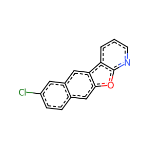 Clc1ccc2cc3oc4ncccc4c3cc2c1